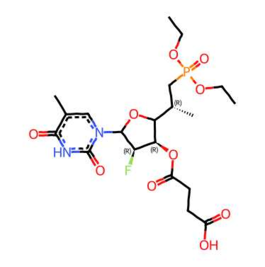 CCOP(=O)(C[C@H](C)C1OC(n2cc(C)c(=O)[nH]c2=O)[C@H](F)[C@@H]1OC(=O)CCC(=O)O)OCC